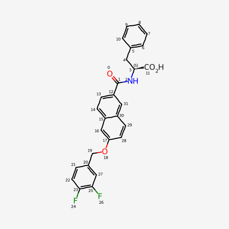 O=C(N[C@@H](Cc1ccccc1)C(=O)O)c1ccc2cc(OCc3ccc(F)c(F)c3)ccc2c1